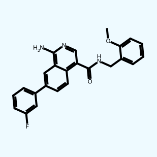 COc1ccccc1CNC(=O)c1cnc(N)c2cc(-c3cccc(F)c3)ccc12